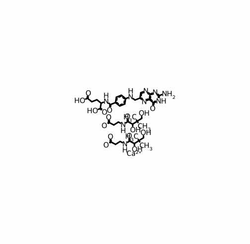 CC(C)(CO)C(O)C(=O)NCCC(=O)[O-].CC(C)(CO)C(O)C(=O)NCCC(=O)[O-].Nc1nc2ncc(CNc3ccc(C(=O)NC(CCC(=O)O)C(=O)O)cc3)nc2c(=O)[nH]1.[Ca+2]